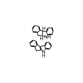 c1ccc2c(c1)C[C@@H]1Nc3ccccc3[C@H]21.c1ccc2c(c1)Cc1[nH]c3ccccc3c1-2